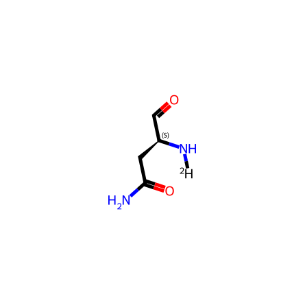 [2H]N[C@H](C=O)CC(N)=O